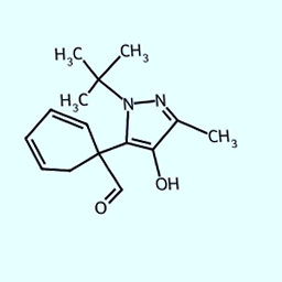 Cc1nn(C(C)(C)C)c(C2(C=O)C=CC=CC2)c1O